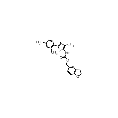 Cc1ccc(-c2nc(C)c(NC(=O)OCc3ccc4c(c3)CCO4)s2)c(C)c1